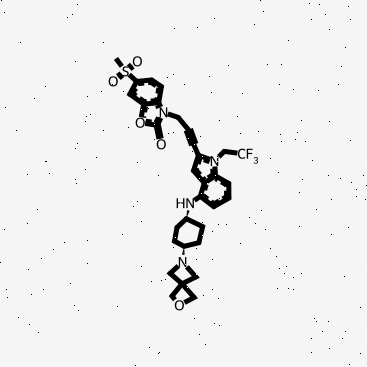 CS(=O)(=O)c1ccc2c(c1)oc(=O)n2CC#Cc1cc2c(N[C@H]3CC[C@@H](N4CC5(COC5)C4)CC3)cccc2n1CC(F)(F)F